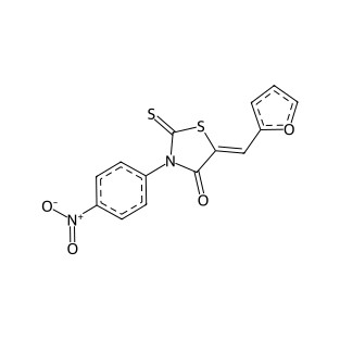 O=C1C(=Cc2ccco2)SC(=S)N1c1ccc([N+](=O)[O-])cc1